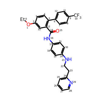 CCOc1ccc(-c2ccc(C(F)(F)F)cc2)c(C(=O)Nc2ccc(NCCc3ccccn3)cc2)c1